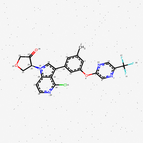 Cc1cc(Oc2cnc(C(F)(F)F)cn2)cc(-c2cn([C@H]3COCC3=O)c3ccnc(Cl)c23)c1